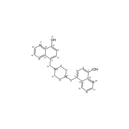 Oc1ccc(CN2CCN(Cc3ccc(O)c4ncccc34)CC2)c2cccnc12